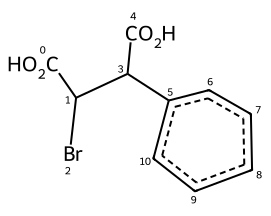 O=C(O)C(Br)C(C(=O)O)c1ccccc1